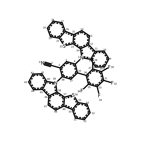 N#Cc1cc(-n2c3ccccc3c3ccc4c5ccccc5sc4c32)c(-c2c(F)c(F)c(F)c(F)c2F)cc1-n1c2ccccc2c2ccc3c4ccccc4sc3c21